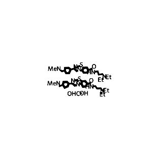 CCN(CC)CCCNC(=O)c1ccc2c(c1)sc1nc(-c3ccc(CNC)cc3)cn12.CCN(CC)CCCNC(=O)c1ccc2c(c1)sc1nc(-c3ccc(CNC)cc3)cn12.O=CO